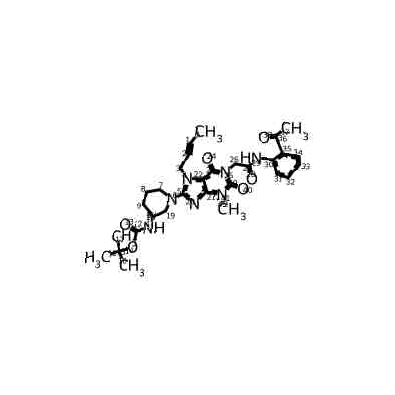 CC#CCn1c(N2CCC[C@@H](NC(=O)OC(C)(C)C)C2)nc2c1c(=O)n(CC(=O)Nc1ccccc1C(C)=O)c(=O)n2C